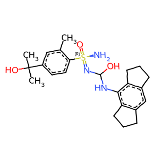 Cc1cc(C(C)(C)O)ccc1[S@](N)(=O)=NC(O)Nc1c2c(cc3c1CCC3)CCC2